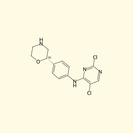 Clc1ncc(Cl)c(Nc2ccc([C@H]3CNCCO3)cc2)n1